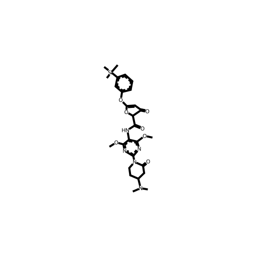 COc1nc(N2CCC(N(C)C)CC2=O)nc(OC)c1NC(=O)C1OC(Oc2cccc([Si](C)(C)C)c2)=CC1=O